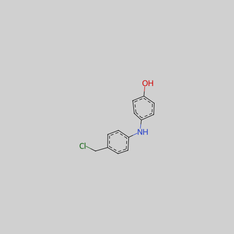 Oc1ccc(Nc2ccc(CCl)cc2)cc1